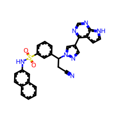 N#CCC(c1cccc(S(=O)(=O)Nc2ccc3ccccc3c2)c1)n1cc(-c2ncnc3[nH]ccc23)cn1